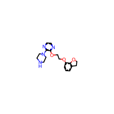 c1cc2c(c(OCCOc3nccnc3N3CCNCC3)c1)OCC2